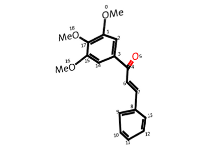 COc1cc(C(=O)C=Cc2ccccc2)cc(OC)c1OC